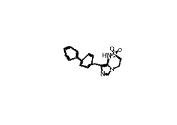 O=S1(=O)CCn2cnc(-c3ccc(-c4ccccc4)cc3)c2N1